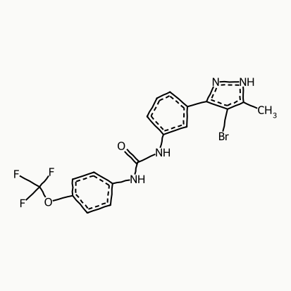 Cc1[nH]nc(-c2cccc(NC(=O)Nc3ccc(OC(F)(F)F)cc3)c2)c1Br